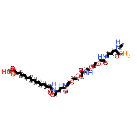 CCNC(CCCCNC(=O)COCCOCCNC(=O)COCCOCCNC(=O)CC[C@@H](C=O)NC(=O)CCCCCCCCCCCCCCCS(=O)(=O)O)C(=O)P